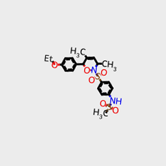 CCOc1ccc(C2ON(S(=O)(=O)c3ccc(NS(C)(=O)=O)cc3)C(C)C=C2C)cc1